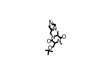 CC1C(=O)N(C)C(COC(C)(C)C)C(=O)N1Cc1cn(C)cn1